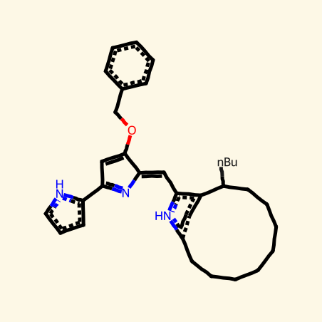 CCCCC1CCCCCCCCc2cc1c(C=C1N=C(c3ccc[nH]3)C=C1OCc1ccccc1)[nH]2